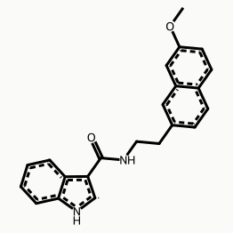 COc1ccc2ccc(CCNC(=O)c3[c][nH]c4ccccc34)cc2c1